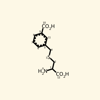 NC(CSCc1cccc(C(=O)O)c1)C(=O)O